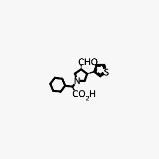 O=C[C@H]1CN([C@@H](C(=O)O)C2CCCCC2)C[C@@H]1c1ccsc1